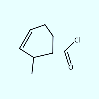 CC1C=CCCC1.O=CCl